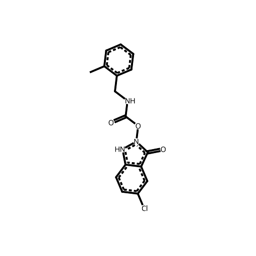 Cc1ccccc1CNC(=O)On1[nH]c2ccc(Cl)cc2c1=O